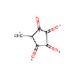 O=CC1C(=O)C(=O)C(=O)C1=O